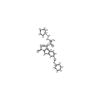 COC(=O)c1cc2cc(OCc3ccccc3)ccc2n1CC(=O)N(C)CCc1ccccc1